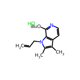 C=CCn1c(C)c(C)c2ccnc(OCC(C)C)c21.Cl